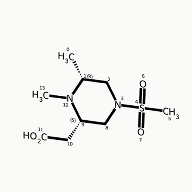 C[C@@H]1CN(S(C)(=O)=O)C[C@H](CC(=O)O)N1C